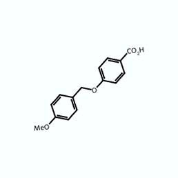 COc1ccc(COc2ccc(C(=O)O)cc2)cc1